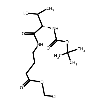 CC(C)[C@H](NC(=O)OC(C)(C)C)C(=O)NCCCC(=O)OCCl